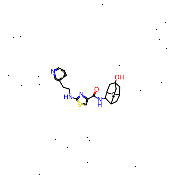 O=C(NC1C2CC3CC1CC(O)(C3)C2)c1csc(NCCc2cccnc2)n1